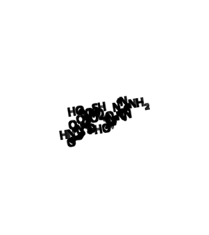 CO[C@H]1C(OP(=O)(S)OC[C@H]2OC(n3cnc4c(N)ncnc43)C[C@H]2O)[C@@H](CO)O[C@H]1n1ccc(=O)[nH]c1=O